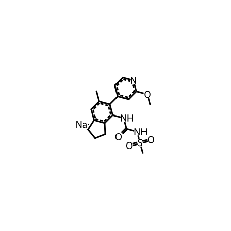 COc1cc(-c2c(C)cc3c(c2NC(=O)NS(C)(=O)=O)CCC3)ccn1.[Na]